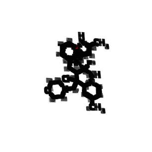 CC1=CC2N(C=C1)NC(F)(Nc1cc(C)[nH]n1)C(Cc1ccccc1)C2(Cl)CN1CCOCC1